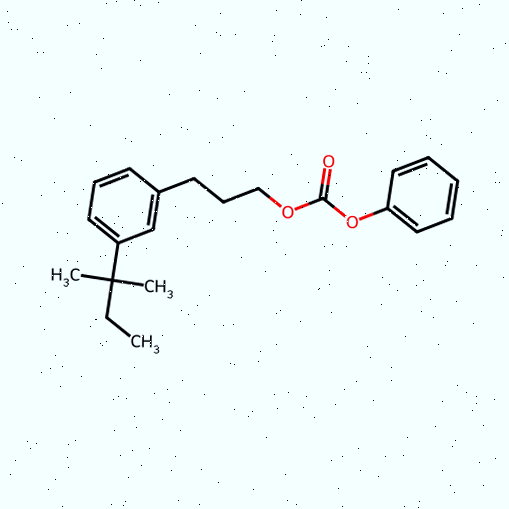 CCC(C)(C)c1cccc(CCCOC(=O)Oc2ccccc2)c1